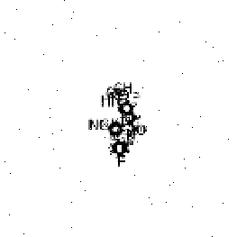 CS(=O)(=O)Nc1ccc2cc(C(N)=O)n(-c3cc(C#N)cc(-c4ccc(F)cc4F)c3)c2c1